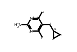 Cc1nc(N)nc(C)c1CC1CC1